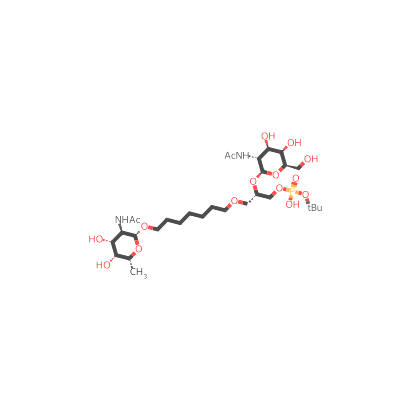 CC(=O)N[C@H]1[C@H](OCCCCCCCOC[C@@H](COP(=O)(O)OC(C)(C)C)O[C@@H]2O[C@H](CO)[C@H](O)[C@H](O)[C@H]2NC(C)=O)O[C@H](C)[C@H](O)[C@@H]1O